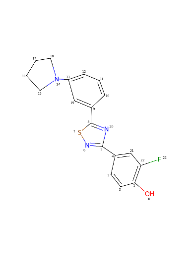 Oc1ccc(-c2nsc(-c3cccc(N4CCCC4)c3)n2)cc1F